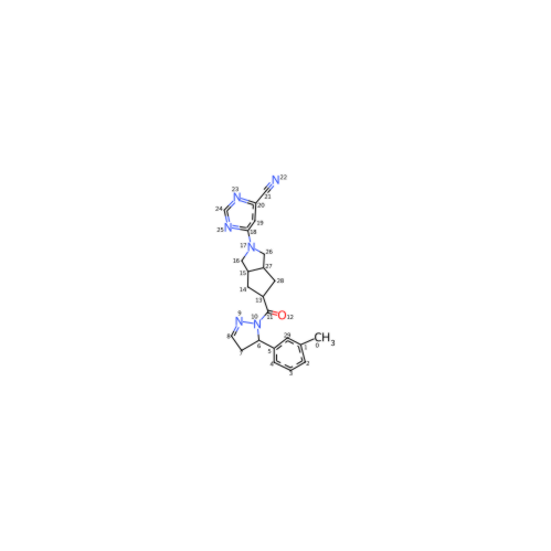 Cc1cccc(C2CC=NN2C(=O)C2CC3CN(c4cc(C#N)ncn4)CC3C2)c1